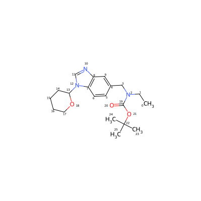 CCN(Cc1ccc2c(c1)ncn2C1CCCCO1)C(=O)OC(C)(C)C